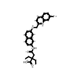 CCC(CC)(CC(=O)Nc1ccc2ccc(OCc3ccc4ccc(F)cc4n3)cc2c1)C(=O)O